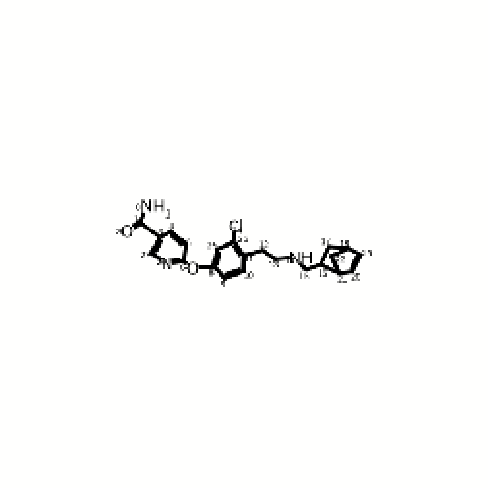 NC(=O)c1ccc(Oc2ccc(CCNCC3CC4C=CC3C4)c(Cl)c2)nc1